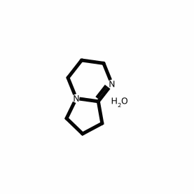 C1CN=C2CCCN2C1.O